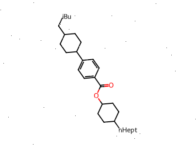 CCCCCCCC1CCC(OC(=O)c2ccc(C3CCC(CC(C)CC)CC3)cc2)CC1